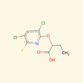 CCC(Oc1nc(F)c(Cl)cc1Cl)C(=O)O